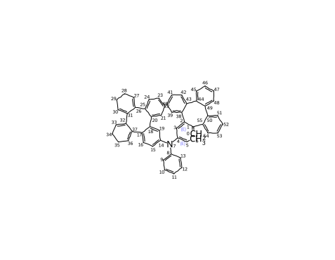 C=C1/C(=C\C(=C/C)N(c2ccccc2)c2ccc3c(c2)-c2ccccc2C2=CCCC=C2C2=CCCC=C23)c2ccccc2-c2ccccc2-c2ccccc21